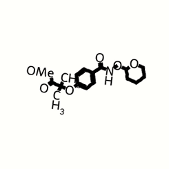 COC(=O)C(C)(C)Oc1ccc(C(=O)NOC2CCCCO2)cc1